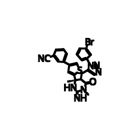 CN1C(=N)N[C@](C)(c2cc(-c3cccc(C#N)c3)cs2)C(Cc2cnnn2-c2cccc(Br)c2)C1=O